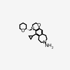 NN1CCc2cc3c(c(C4CC4)c2CC1)N(C[C@H]1CCCCO1)CCO3